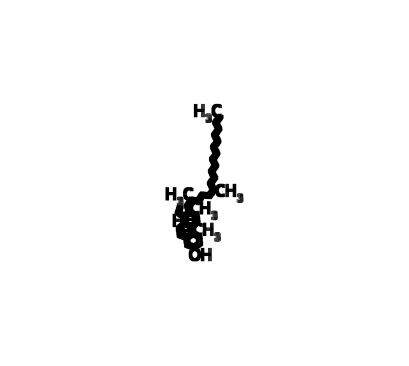 CCCCCCCCCCCCCC(C)CCC[C@@H](C)[C@H]1CC[C@H]2[C@@H]3CC=C4C[C@@H](O)CC[C@]4(C)[C@H]3CC[C@]12C